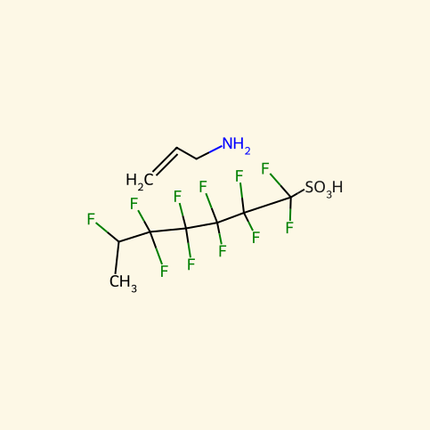 C=CCN.CC(F)C(F)(F)C(F)(F)C(F)(F)C(F)(F)C(F)(F)S(=O)(=O)O